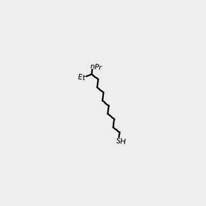 CCCC(CC)CCCCCCCCCS